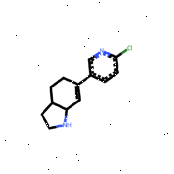 Clc1ccc(C2=CC3NCCC3CC2)cn1